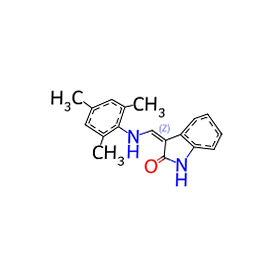 Cc1cc(C)c(N/C=C2\C(=O)Nc3ccccc32)c(C)c1